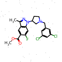 COC(=O)c1cc2c(C)nn(C3CCN(Cc4cc(Cl)cc(Cl)c4)C3)c2cc1F